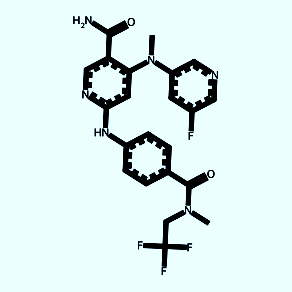 CN(CC(F)(F)F)C(=O)c1ccc(Nc2cc(N(C)c3cncc(F)c3)c(C(N)=O)cn2)cc1